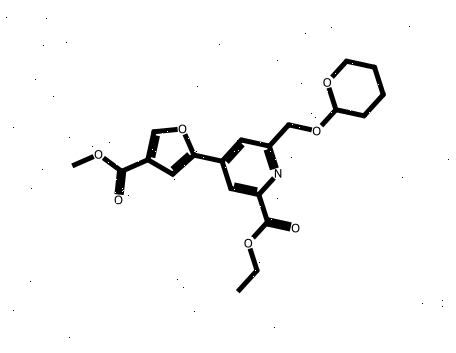 CCOC(=O)c1cc(-c2cc(C(=O)OC)co2)cc(COC2CCCCO2)n1